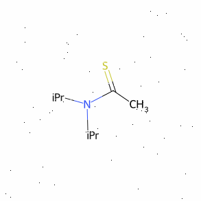 CC(=S)N(C(C)C)C(C)C